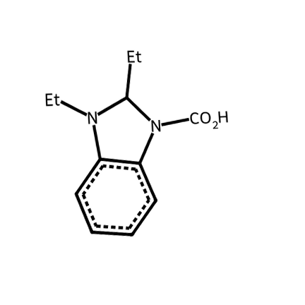 CCC1N(CC)c2ccccc2N1C(=O)O